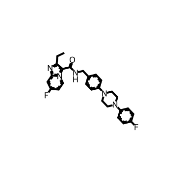 CCc1nc2cc(F)ccn2c1C(=O)NCc1ccc(N2CCN(c3ccc(F)cc3)CC2)cc1